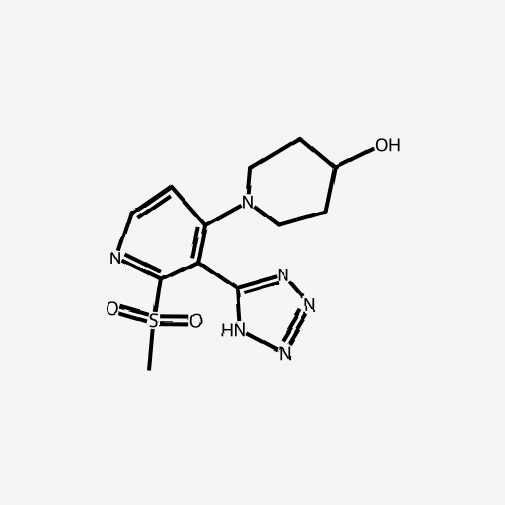 CS(=O)(=O)c1nccc(N2CCC(O)CC2)c1-c1nnn[nH]1